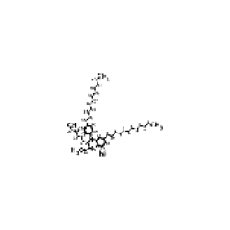 CCCCCCCCCCCCc1ccc(N=C(CC)C(CCCCCC)=Nc2ccc(CCCCCCCCCCCC)cc2)cc1.[Ni]